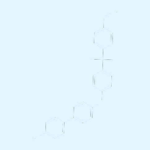 CC(C)(C)Oc1ccc(C(c2ccc(Oc3ccc(-c4ccc(C(C)(C)C)cc4)cc3)cc2)(C(F)(F)F)C(F)(F)F)cc1